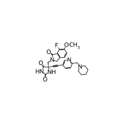 COc1ccc2c(c1F)C(=O)N(C[C@@]1(C#Cc3ccc(CN4CCCCC4)nc3)NC(=O)NC1=O)C2